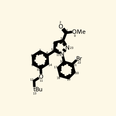 COC(=O)c1cc(-c2cccc(OCC(C)(C)C)c2)n(-c2ccccc2Br)n1